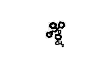 CC1=CCC(OC(CCN2CCCC2)(c2ccccc2)C2CCCCC2)CC1